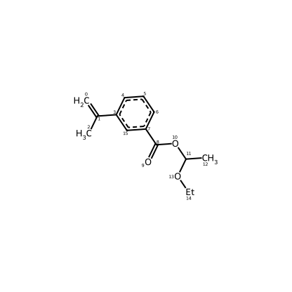 C=C(C)c1cccc(C(=O)OC(C)OCC)c1